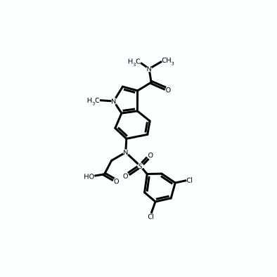 CN(C)C(=O)c1cn(C)c2cc(N(CC(=O)O)S(=O)(=O)c3cc(Cl)cc(Cl)c3)ccc12